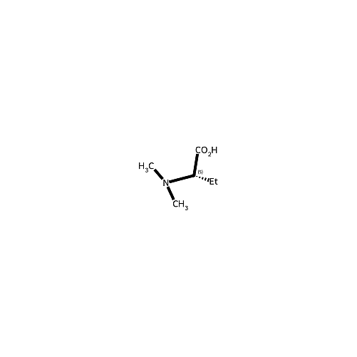 CC[C@@H](C(=O)O)N(C)C